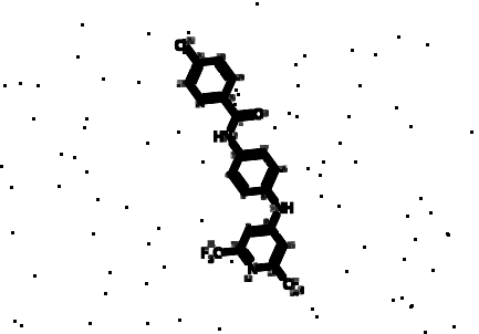 O=C(Nc1ccc(Nc2cc(C(F)(F)F)nc(C(F)(F)F)c2)cc1)c1ccc(Cl)cc1